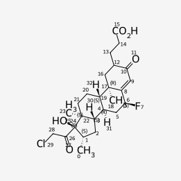 C[C@H]1C[C@H]2[C@@H]3C[C@H](F)C4=CC(=O)C(CCC(=O)O)C[C@]4(C)[C@H]3CC[C@]2(C)[C@@]1(O)C(=O)CCl